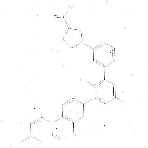 CN(C)/C=C\N(C=O)c1ccc(-c2cc(F)cc(-c3ccnc(N4CCC(C(N)=O)C4)c3)c2O)cc1Cl